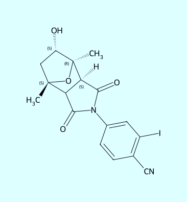 C[C@]12O[C@@](C)(C[C@@H]1O)C1C(=O)N(c3ccc(C#N)c(I)c3)C(=O)[C@@H]12